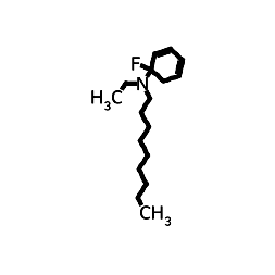 CCCCCCCCCN(CC)C1(F)C=CC=CC1